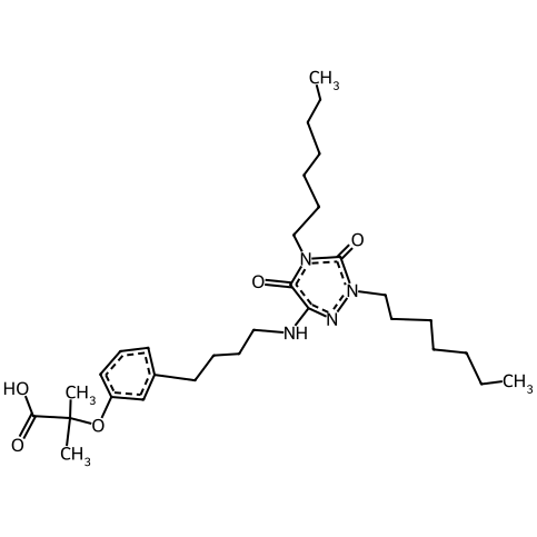 CCCCCCCn1nc(NCCCCc2cccc(OC(C)(C)C(=O)O)c2)c(=O)n(CCCCCCC)c1=O